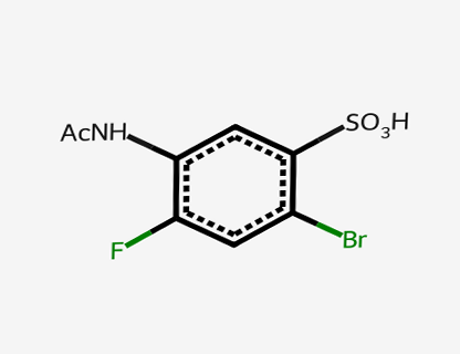 CC(=O)Nc1cc(S(=O)(=O)O)c(Br)cc1F